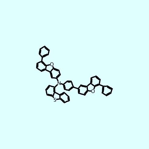 c1ccc(-c2cccc3c2oc2ccc(-c4ccc(N(c5ccc6oc7c(-c8ccccc8)cccc7c6c5)c5cccc6sc7ccccc7c56)cc4)cc23)cc1